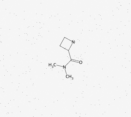 CN(C)C(=O)C1CC[N]1